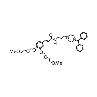 COCCOCOc1ccc(C=CC(=O)NCCCN2CCN(C(c3ccccc3)c3ccccc3)CC2)cc1OCOCCOC